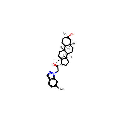 CSc1ccc2cnn(CC(=O)[C@H]3CC[C@H]4[C@@H]5CC[C@H]6C[C@](C)(O)CC[C@]6(C)[C@H]5CC[C@]34C)c2c1